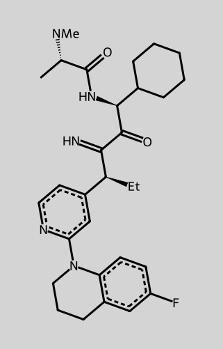 CC[C@H](C(=N)C(=O)[C@@H](NC(=O)[C@H](C)NC)C1CCCCC1)c1ccnc(N2CCCc3cc(F)ccc32)c1